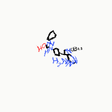 CC(C)(C)n1cc(-c2ccc(Nc3cc(O)n(-c4ccccc4)n3)cc2)c2c(N)ncnc21